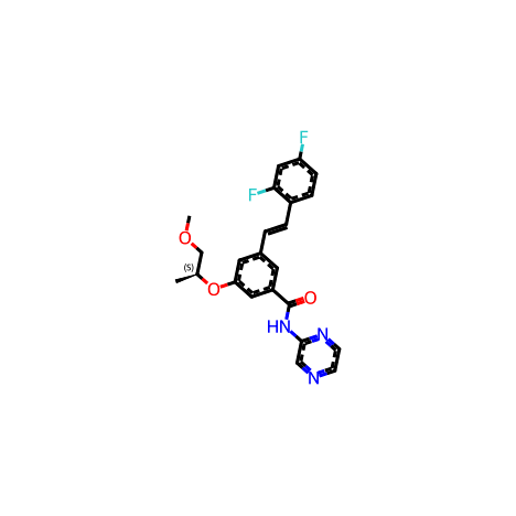 COC[C@H](C)Oc1cc(C=Cc2ccc(F)cc2F)cc(C(=O)Nc2cnccn2)c1